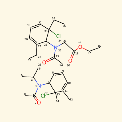 CC(=O)N(C(C)C)C1C=CC=C(C)C1(C)Cl.CCOC(=O)CN(C(C)=O)C1C(CC)=CC=CC1(Cl)CC